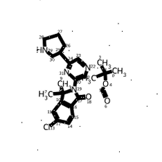 CC(C)(C)OC=O.CC1(C)c2cc(Cl)ccc2C(=O)N1c1cncc(C2CCCNC2)n1